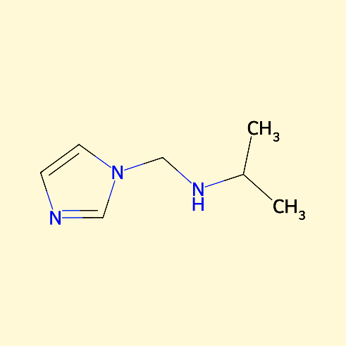 CC(C)NCn1ccnc1